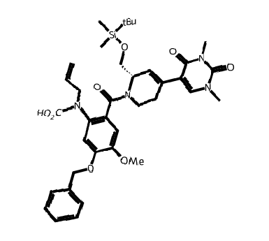 C=CCN(C(=O)O)c1cc(OCc2ccccc2)c(OC)cc1C(=O)N1CCC(c2cn(C)c(=O)n(C)c2=O)=C[C@H]1CO[Si](C)(C)C(C)(C)C